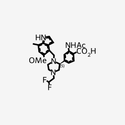 COc1cc(C)c2[nH]ccc2c1CN1CCN(CC(F)F)C[C@@H]1c1ccc(C(=O)O)c(NC(C)=O)c1